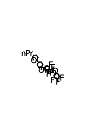 CCCC1CCC(C2CCC(O)(c3cc(F)c(C(F)(F)Oc4cc(F)c(F)c(F)c4)c(F)c3)CC2)OC1